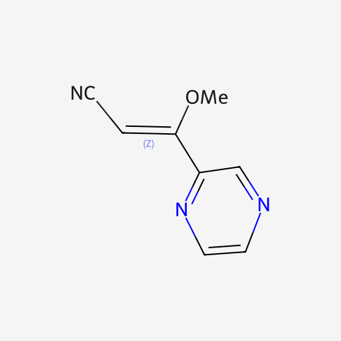 CO/C(=C\C#N)c1cnccn1